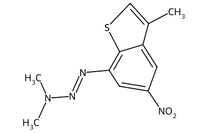 Cc1csc2c(N=NN(C)C)cc([N+](=O)[O-])cc12